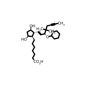 CC#CCC(C)(C)[C@@H](C=C[C@@H]1[C@@H](CCCCCCC(=O)O)[C@@H](O)C[C@H]1O)OC1CCCCO1